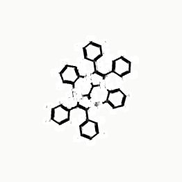 Fc1ccccc1N1C(c2ccccc2)=C(c2ccccc2)N(c2ccccc2F)C1c1nc(-c2ccccc2)c(-c2ccccc2)[nH]1